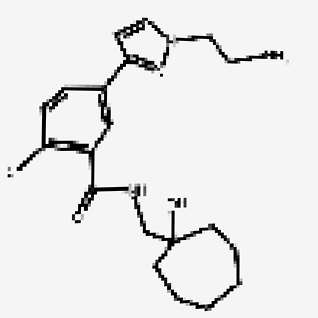 NCCn1ccc(-c2ccc(Cl)c(C(=O)NCC3(O)CCCCCC3)c2)n1